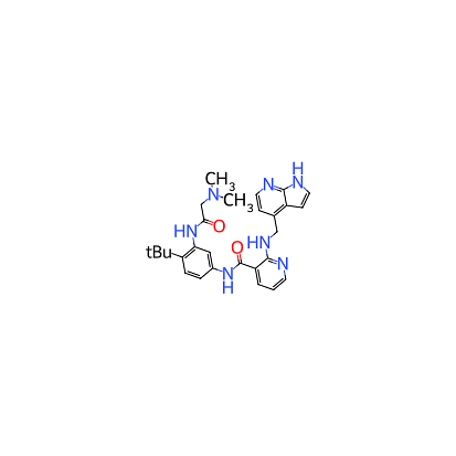 CN(C)CC(=O)Nc1cc(NC(=O)c2cccnc2NCc2ccnc3[nH]ccc23)ccc1C(C)(C)C